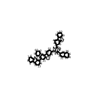 c1ccc(-n2c3ccccc3c3cccc(-c4ccc5c(c4)oc4cc(-c6nc(-c7ccc8ccccc8c7)nc(-c7ccc8c(c7)oc7ccccc78)n6)ccc45)c32)cc1